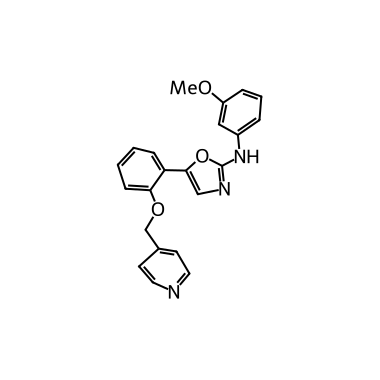 COc1cccc(Nc2ncc(-c3ccccc3OCc3ccncc3)o2)c1